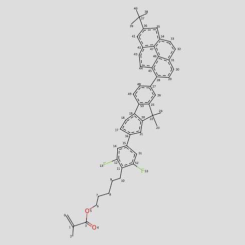 C=C(C)C(=O)OCCCCCc1c(F)cc(-c2ccc3c(c2)C(C)(C)c2cc(-c4ccc5ccc6cc(C(C)(C)C)cc7ccc4c5c67)ccc2-3)cc1F